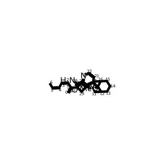 C=C(/C=C\C=C/C)C1CC(N2CC3CCCC(C2)C3(OC)c2ccnc(C(N)=O)c2)C1